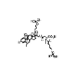 C[C@]12C=CC(=O)C=C1[C@@H](F)CC1C3CC[C@](OC(=O)CCCON(O)O)(C(=O)COC(=O)CC(NC(=O)CCCCCON(O)O)C(=O)O)[C@@]3(C)C[C@H](O)[C@@]12F